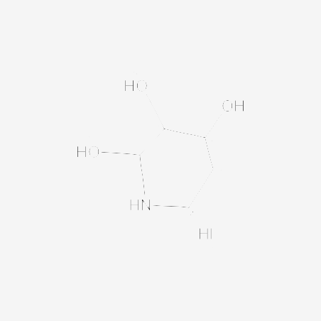 I.OC1CCNC(O)C1O